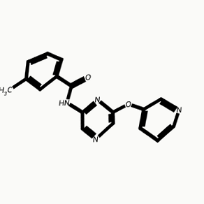 Cc1cccc(C(=O)Nc2cncc(Oc3cccnc3)n2)c1